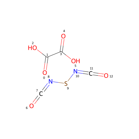 O=C(O)C(=O)O.O=C=NSN=C=O